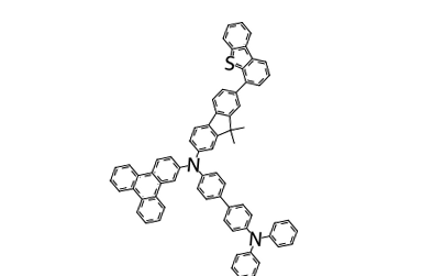 CC1(C)c2cc(-c3cccc4c3sc3ccccc34)ccc2-c2ccc(N(c3ccc(-c4ccc(N(c5ccccc5)c5ccccc5)cc4)cc3)c3ccc4c5ccccc5c5ccccc5c4c3)cc21